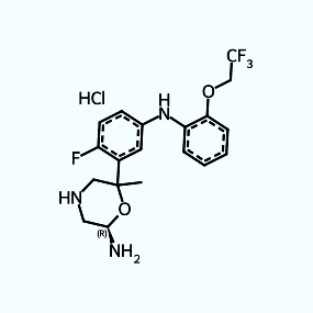 CC1(c2cc(Nc3ccccc3OCC(F)(F)F)ccc2F)CNC[C@H](N)O1.Cl